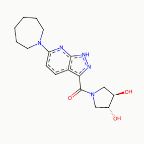 O=C(c1n[nH]c2nc(N3CCCCCC3)ccc12)N1C[C@@H](O)[C@H](O)C1